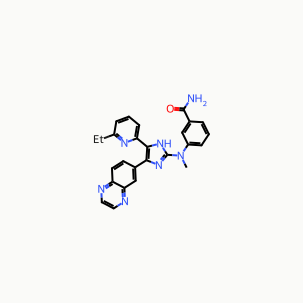 CCc1cccc(-c2[nH]c(N(C)c3cccc(C(N)=O)c3)nc2-c2ccc3nccnc3c2)n1